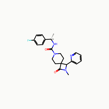 C[C@H](NC(=O)N1CCC2(CC1)C(=O)N(C)C2c1ccccn1)c1ccc(F)cc1